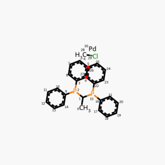 CC(P(c1ccccc1)c1ccccc1)P(c1ccccc1)c1ccccc1.CCl.[Pd]